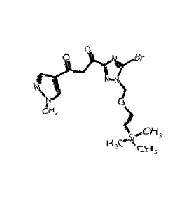 Cn1cc(C(=O)CC(=O)c2nc(Br)n(COCC[Si](C)(C)C)n2)cn1